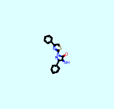 N=C1C(=O)N(c2nc(-c3ccccc3)cs2)N=C1c1ccccc1